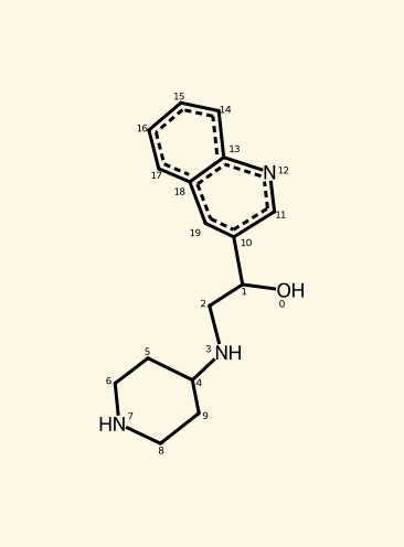 OC(CNC1CCNCC1)c1cnc2ccccc2c1